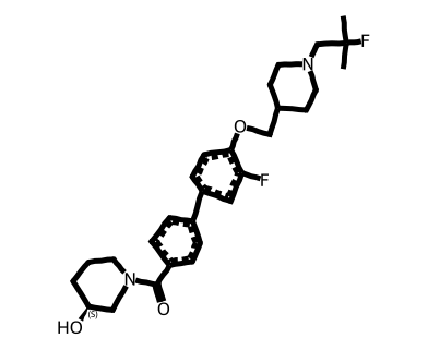 CC(C)(F)CN1CCC(COc2ccc(-c3ccc(C(=O)N4CCC[C@H](O)C4)cc3)cc2F)CC1